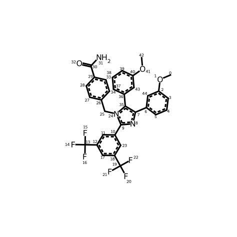 COc1cccc(-c2nc(-c3cc(C(F)(F)F)cc(C(F)(F)F)c3)n(Cc3ccc(C(N)=O)cc3)c2-c2cccc(OC)c2)c1